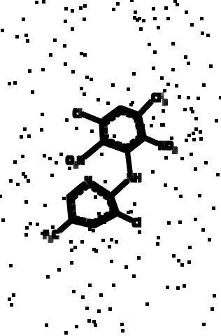 O=[N+]([O-])c1c(Cl)cc(C(F)(F)F)c([N+](=O)[O-])c1Nc1ncc(C(F)(F)F)cc1Cl